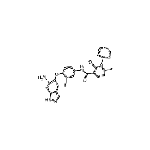 Cc1ccc(C(=O)Nc2ccc(Oc3cc4cn[nH]c4cc3N)c(F)c2)c(=O)n1-c1ccccc1